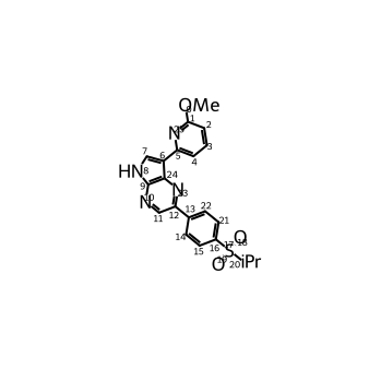 COc1cccc(-c2c[nH]c3ncc(-c4ccc(S(=O)(=O)C(C)C)cc4)nc23)n1